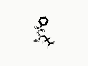 CCCCS(CC(F)(F)C(F)F)=NS(=O)(=O)c1ccccc1